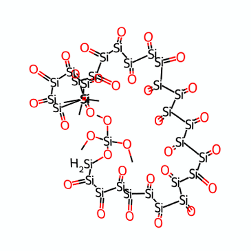 CO[Si](OC)(OC)O[SiH2][Si](=O)[Si](=O)[Si](=O)[Si](=O)[Si](=O)[Si](=O)[Si](=O)[Si](=O)[Si](=O)[Si](=O)[Si](=O)[Si](=O)[Si](=O)[Si](=O)[Si](=O)[Si](=O)[Si](=O)[Si](=O)[Si](=O)[Si](=O)[Si](=O)[Si](=O)[Si](=O)[Si](=O)[Si](=O)[Si](=O)[Si](=O)[Si](=O)[Si](C)(C)C